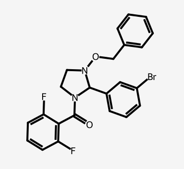 O=C(c1c(F)cccc1F)N1CCN(OCc2ccccc2)C1c1cccc(Br)c1